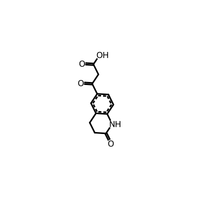 O=C(O)CC(=O)c1ccc2c(c1)CCC(=O)N2